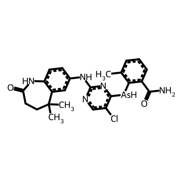 Cc1cccc(C(N)=O)c1[AsH]c1nc(Nc2ccc3c(c2)C(C)(C)CCC(=O)N3)ncc1Cl